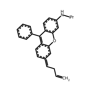 C=CC/C=c1/ccc2c(c1)Oc1cc(NC(C)C)ccc1C=2c1ccccc1